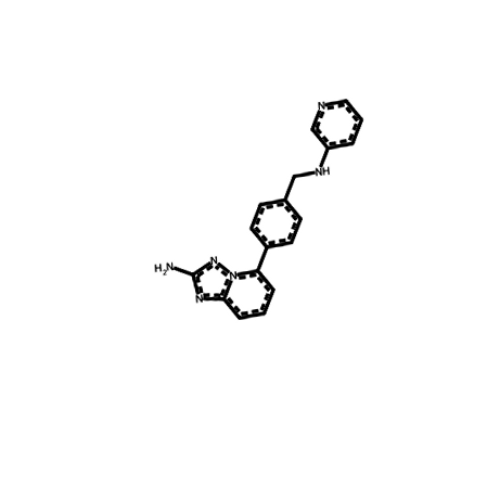 Nc1nc2cccc(-c3ccc(CNc4cccnc4)cc3)n2n1